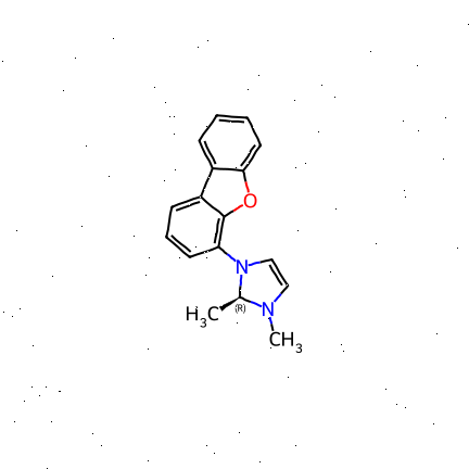 C[C@@H]1N(C)C=CN1c1cccc2c1oc1ccccc12